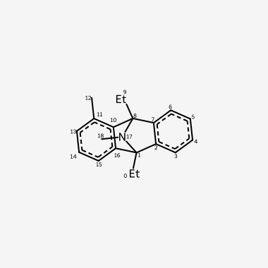 CCC12c3ccccc3C(CC)(c3c(C)cccc31)N2C